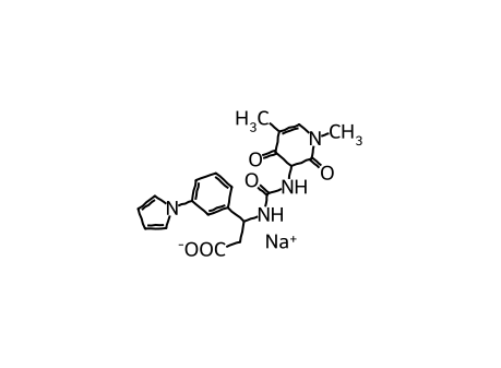 CC1=CN(C)C(=O)C(NC(=O)NC(CC(=O)[O-])c2cccc(-n3cccc3)c2)C1=O.[Na+]